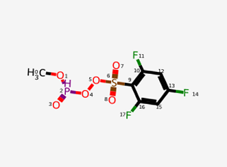 CO[PH](=O)OOS(=O)(=O)c1c(F)cc(F)cc1F